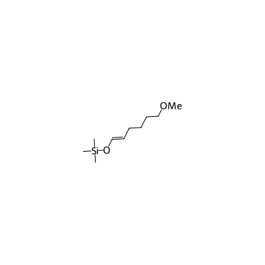 COCCCCC=CO[Si](C)(C)C